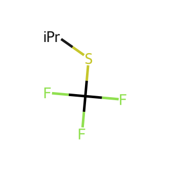 [CH2]C(C)SC(F)(F)F